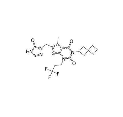 Cc1c(Cn2nc[nH]c2=O)sc2c1c(=O)n(C1CC3(CCC3)C1)c(=O)n2CCC(F)(F)F